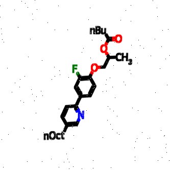 CCCCCCCCc1ccc(-c2ccc(OCC(C)OC(=O)CCCC)c(F)c2)nc1